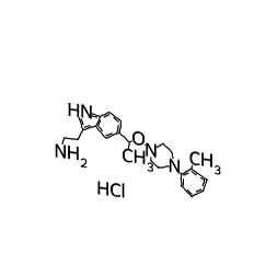 Cc1ccccc1N1CCN(OC(C)c2ccc3[nH]cc(CCN)c3c2)CC1.Cl